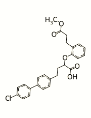 COC(=O)CCc1ccccc1OC(CCc1ccc(-c2ccc(Cl)cc2)cc1)C(=O)O